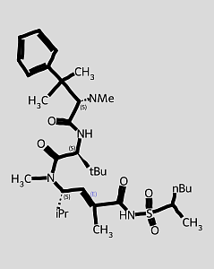 CCCCC(C)S(=O)(=O)NC(=O)/C(C)=C/[C@H](C(C)C)N(C)C(=O)[C@@H](NC(=O)[C@@H](NC)C(C)(C)c1ccccc1)C(C)(C)C